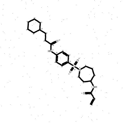 C=CC(=O)NC1CCCN(S(=O)(=O)c2ccc(NC(=O)CCC3CCCCC3)cc2)CC1